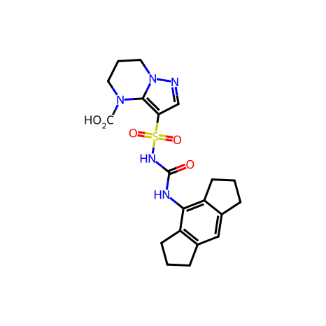 O=C(Nc1c2c(cc3c1CCC3)CCC2)NS(=O)(=O)c1cnn2c1N(C(=O)O)CCC2